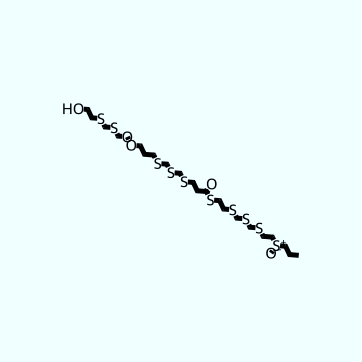 CCC[S+]([O-])CCSCSCSCCSC(=O)CCSCSCSCCCOOCSCSCCO